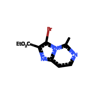 CCOC(=O)c1nc2ccnc(C)n2c1Br